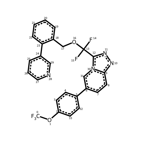 FC(F)(F)Oc1ccc(-c2ccc3nnc(C(F)(F)OCc4ccccc4-c4cccnc4)n3c2)cc1